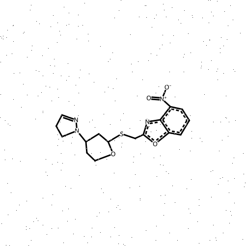 O=[N+]([O-])c1cccc2oc(CSC3CC(N4CCC=N4)CCO3)nc12